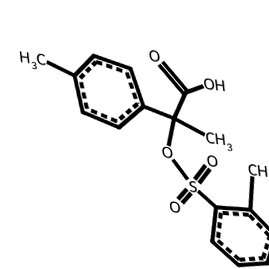 Cc1ccc(C(C)(OS(=O)(=O)c2ccccc2C)C(=O)O)cc1